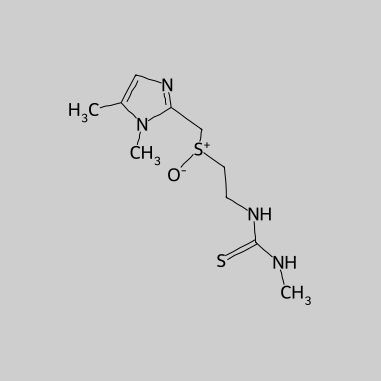 CNC(=S)NCC[S+]([O-])Cc1ncc(C)n1C